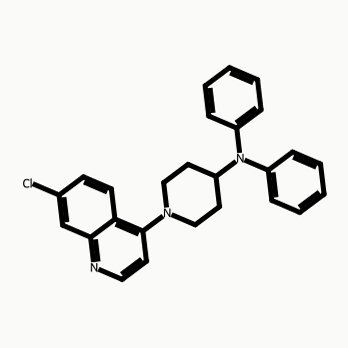 Clc1ccc2c(N3CCC(N(c4ccccc4)c4ccccc4)CC3)ccnc2c1